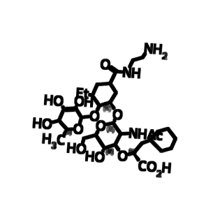 CCC1CC(C(=O)NCCN)C[C@@H](O[C@@H]2OC(CO)[C@H](O)C(O[C@@H](CC3CCCCC3)C(=O)O)C2NC(C)=O)C1OC1O[C@@H](C)C(O)C(O)=C1O